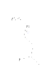 CN/N=C/CC(F)F